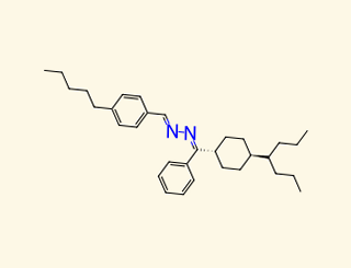 CCCCCc1ccc(C=NN=C(c2ccccc2)[C@H]2CC[C@H](C(CCC)CCC)CC2)cc1